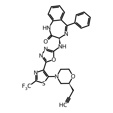 C#CC[C@H]1CN(c2sc(C(F)(F)F)nc2-c2nnc(N[C@@H]3N=C(c4ccccc4)c4ccccc4NC3=O)o2)CCO1